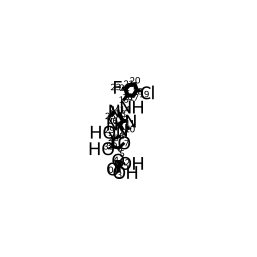 O=P(O)(O)OC[C@H]1O[C@@H](n2cnc3c(NCc4cc(Cl)ccc4F)ncnc32)[C@H](O)[C@@H]1O